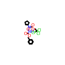 O=C(NON(C(=O)OCC(Cl)(Cl)Cl)C1=CCCC1)OCc1ccccc1